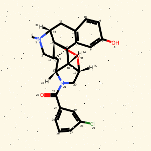 CN1CC[C@@]23c4cc(O)ccc4C[C@@H]1[C@]21CC[C@@H]2[C@H]3[C@@H](CN2C(=O)c2cccc(Cl)c2)O1